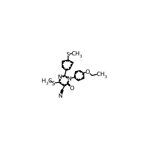 CCOc1ccc(-n2c(-c3ccc(SC)cc3)nc(SC)c(C#N)c2=O)cc1